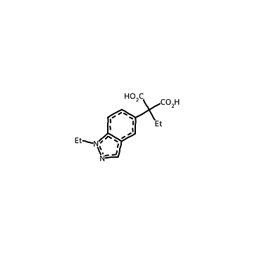 CCn1ncc2cc(C(CC)(C(=O)O)C(=O)O)ccc21